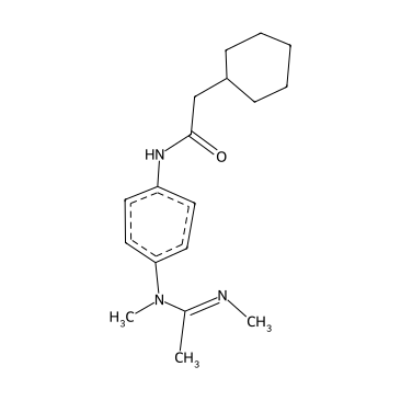 CN=C(C)N(C)c1ccc(NC(=O)CC2CCCCC2)cc1